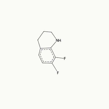 Fc1ccc2c(c1F)NCCC2